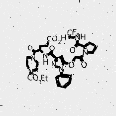 CCOC(=O)N1CCN(C(=O)C(CCC(=O)O)NC(=O)c2cc(OCC(=O)N3CCCC3C(=O)NCC(F)(F)F)n(-c3ccccc3)n2)CC1